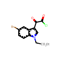 CCOC(=O)Cn1cc(C(=O)C(=O)Cl)c2cc(Br)ccc21